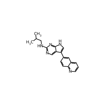 CC(C)CNc1ncc2c(-c3ccc4ncccc4c3)c[nH]c2n1